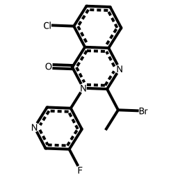 CC(Br)c1nc2cccc(Cl)c2c(=O)n1-c1cncc(F)c1